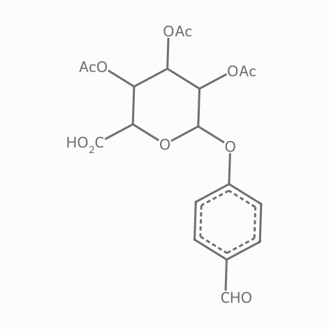 CC(=O)OC1C(Oc2ccc(C=O)cc2)OC(C(=O)O)C(OC(C)=O)C1OC(C)=O